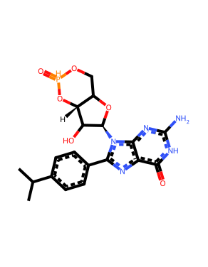 CC(C)c1ccc(-c2nc3c(=O)[nH]c(N)nc3n2[C@@H]2OC3CO[PH](=O)O[C@H]3C2O)cc1